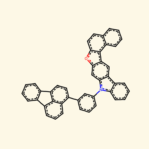 c1cc(-c2ccc3c4c(cccc24)-c2ccccc2-3)cc(-n2c3ccccc3c3cc4c(cc32)oc2ccc3ccccc3c24)c1